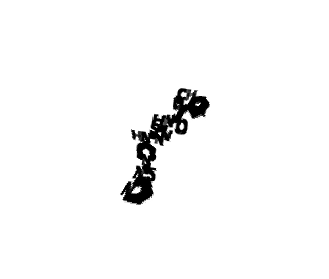 CO[C@@H](C(=O)Nc1nnc(NC2CCN(c3nc4ncccc4s3)CC2)s1)c1ccccc1